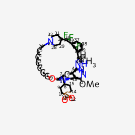 COc1nnc2c3cc(C4CCS(=O)(=O)CC4)c(nc13)OCCCCCCCN1CCC(CC1)C(F)(F)c1cccc(c1F)[C@@H](C)N2